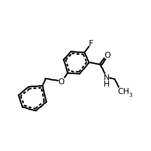 CCNC(=O)c1cc(OCc2ccccc2)ccc1F